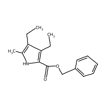 CCc1c(C)[nH]c(C(=O)OCc2ccccc2)c1CC